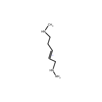 CNCC/C=C/CNN